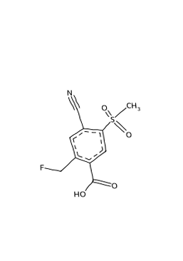 CS(=O)(=O)c1cc(C(=O)O)c(CF)cc1C#N